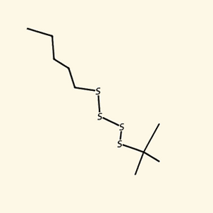 CCCCCSSSSC(C)(C)C